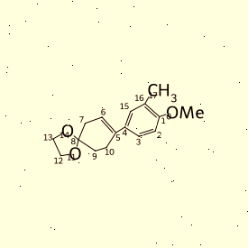 COc1ccc(C2=CCC3(CC2)OCCO3)cc1C